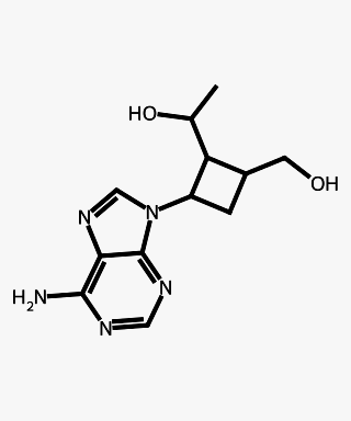 CC(O)C1C(CO)CC1n1cnc2c(N)ncnc21